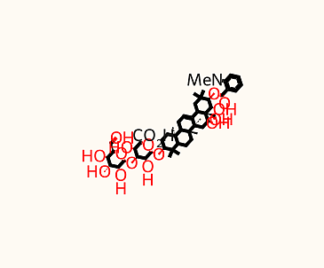 CNc1ccccc1C(=O)O[C@H]1[C@H](O)[C@@]2(CO)C(CC1(C)C)C1=CCC3[C@]4(C)CC[C@H](O[C@@H]5O[C@H](C(=O)O)[C@@H](O)[C@H](O[C@@H]6O[C@H](CO)[C@@H](O)[C@@H](O)[C@@H]6O)[C@H]5O)C(C)(C)C4CC[C@@]3(C)[C@]1(C)C[C@@H]2O